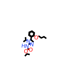 CCCCOc1ccccc1C1CN=C(NC(=O)OC(C)C)N1C(C)C